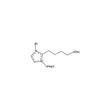 CCCCCCCCCCCCCCc1n(C(C)C)cc[n+]1CCCCCCC